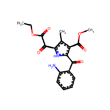 CCOC(=O)C(=O)c1[nH]c(C(=O)c2ccccc2N)c(C(=O)OC)c1C